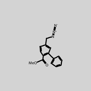 COC(=O)c1ccc(CN=[N+]=[N-])cc1-c1ccccc1